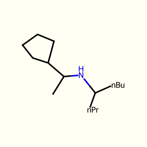 CCCCC(CCC)NC(C)C1CCCC1